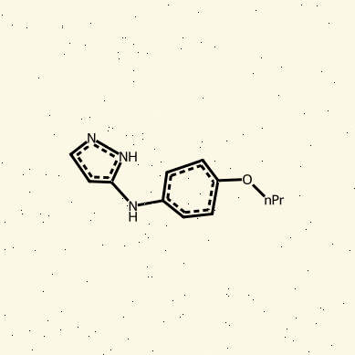 CCCOc1ccc(Nc2ccn[nH]2)cc1